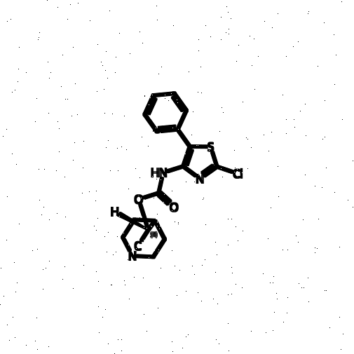 O=C(Nc1nc(Cl)sc1-c1ccccc1)O[C@H]1CN2CCC1CC2